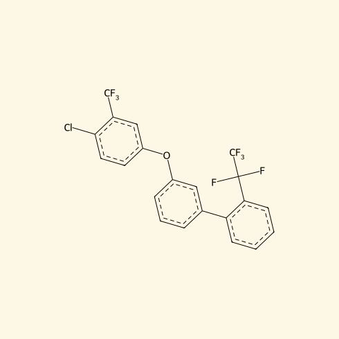 FC(F)(F)c1cc(Oc2cccc(-c3ccccc3C(F)(F)C(F)(F)F)c2)ccc1Cl